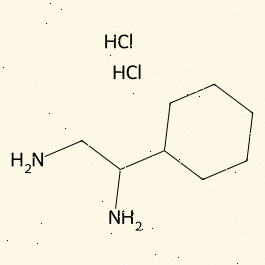 Cl.Cl.NCC(N)C1CCCCC1